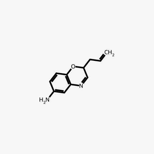 C=CCC1C=Nc2cc(N)ccc2O1